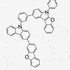 c1ccc(-n2c3ccc(-c4cccc(-n5c6ccccc6c6cc(-c7ccc8c(c7)oc7ccccc78)ccc65)c4)cc3c3c4ccccc4oc32)cc1